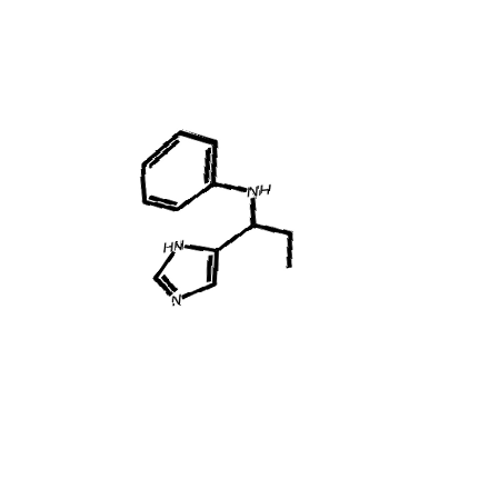 CCC(Nc1ccccc1)c1cnc[nH]1